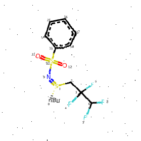 CCCC[S@@](CC(F)(F)C(F)F)=NS(=O)(=O)c1ccccc1